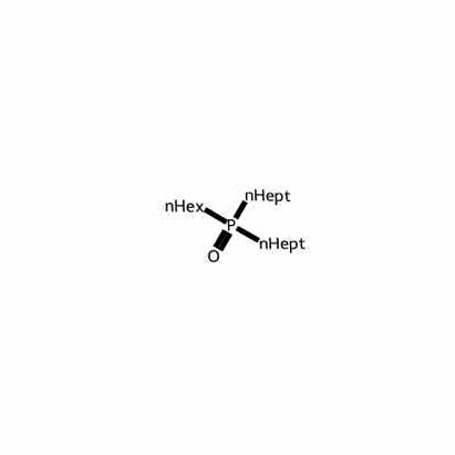 CCCCCCCP(=O)(CCCCCC)CCCCCCC